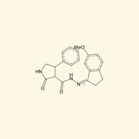 COc1ccc2c(c1)/C(=N\NC(=O)C1C(=O)NCC1c1ccccc1)CC2